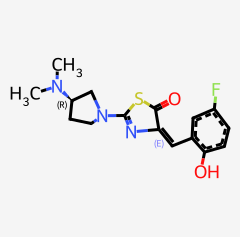 CN(C)[C@@H]1CCN(C2=N/C(=C/c3cc(F)ccc3O)C(=O)S2)C1